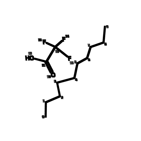 CCCCCCCCCC.O=C(O)C(F)(F)F